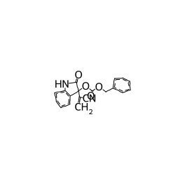 C=C(C#N)C1(OC(=O)OCc2ccccc2)C(=O)Nc2ccccc21